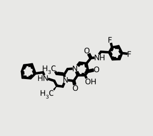 C/C=C1\Cn2cc(C(=O)NCc3ccc(F)cc3F)c(=O)c(O)c2C(=O)N1C[C@@H](C)CNCc1ccccc1